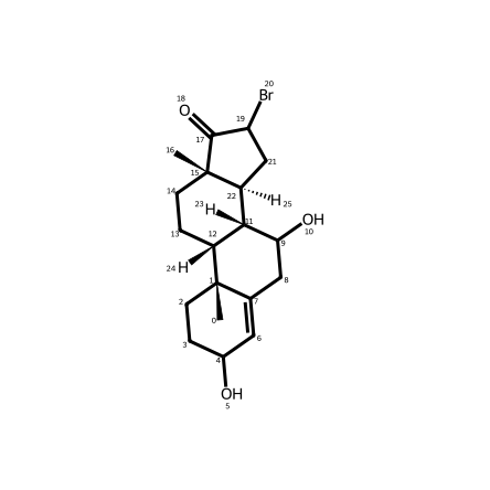 C[C@]12CCC(O)C=C1CC(O)[C@@H]1[C@H]2CC[C@]2(C)C(=O)C(Br)C[C@@H]12